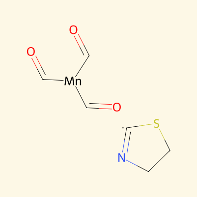 O=[CH][Mn]([CH]=O)[CH]=O.[C]1=NCCS1